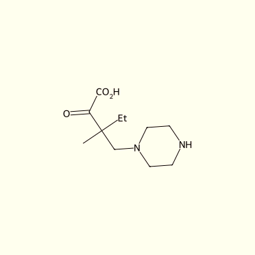 CCC(C)(CN1CCNCC1)C(=O)C(=O)O